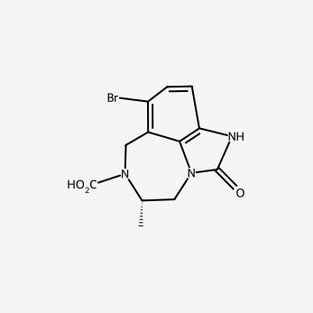 C[C@H]1Cn2c(=O)[nH]c3ccc(Br)c(c32)CN1C(=O)O